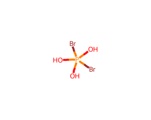 OP(O)(O)(Br)Br